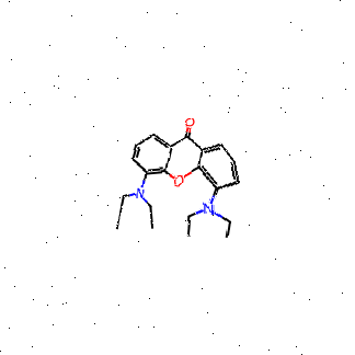 CCN(CC)c1cccc2c(=O)c3cccc(N(CC)CC)c3oc12